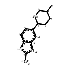 CC1CCC(c2ccc3sc(C(F)(F)F)nc3c2)NC1